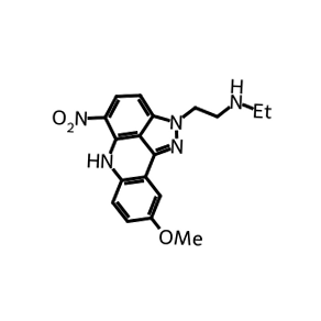 CCNCCn1nc2c3c(c([N+](=O)[O-])ccc31)Nc1ccc(OC)cc1-2